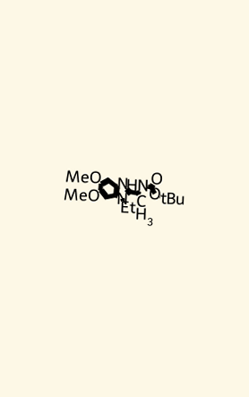 CCn1c(C(C)NC(=O)OC(C)(C)C)nc2cc(OC)c(OC)cc21